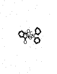 C[Si](ON1C(=O)c2ccccc2C1=O)(c1ccccc1)c1ccccc1